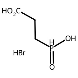 Br.O=C(O)CC[PH](=O)O